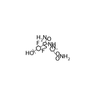 Cc1nc(Nc2sc(-c3c(F)cc(C(C)(C)O)cc3F)cc2C(N)=O)ccc1COC(N)=O